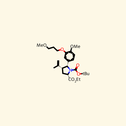 C=C(C)[C@H]1C[C@@H](C(=O)OCC)N(C(=O)OC(C)(C)C)[C@H]1c1ccc(OC)c(OCCCOC)c1